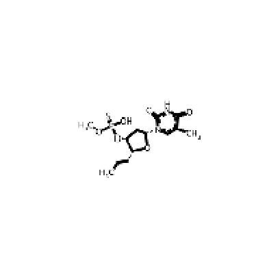 CCC[C@H]1O[C@@H](n2cc(C)c(=O)[nH]c2=O)C[C@H]1OP(O)(=S)OC